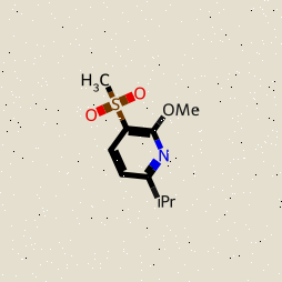 COc1nc(C(C)C)ccc1S(C)(=O)=O